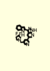 FC1(F)CCN(Cc2cncc(-c3cnc4[nH]nc(-c5cc6ccccc6[nH]5)c4c3)c2)C1